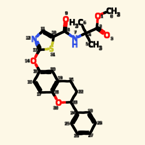 COC(=O)C(C)(C)NC(=O)c1cnc(Oc2ccc3c(c2)CCC(c2ccccc2)O3)s1